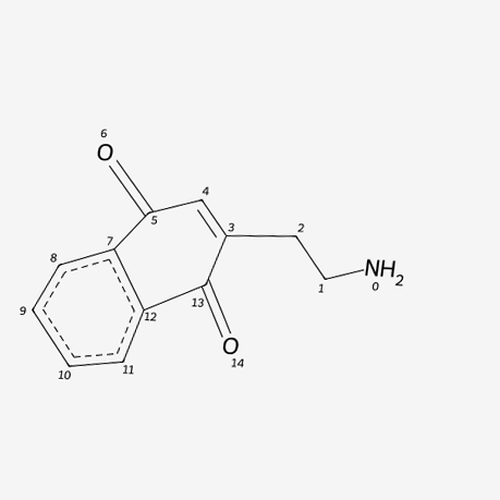 NCCC1=CC(=O)c2ccccc2C1=O